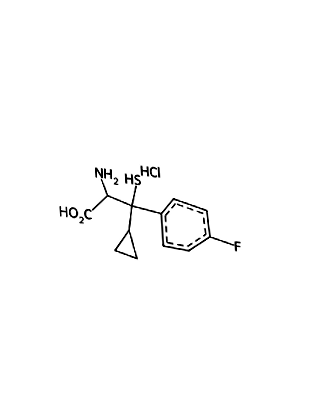 Cl.NC(C(=O)O)C(S)(c1ccc(F)cc1)C1CC1